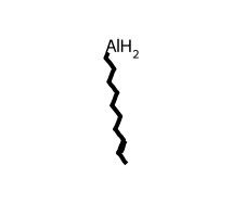 CC=CCCCCCC[CH2][AlH2]